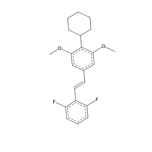 COc1cc(/C=C/c2c(F)cccc2F)cc(OC)c1C1CCCCC1